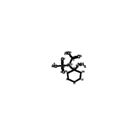 NC1(N(C(=O)O)S(=O)(=O)O)CCCCC1